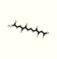 CCC(I)CC(I)C(I)CCCC(I)C(I)CCC(C)I